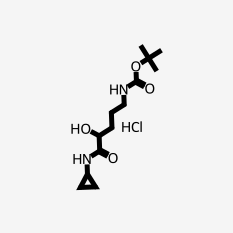 CC(C)(C)OC(=O)NCCCC(O)C(=O)NC1CC1.Cl